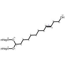 CCCCCCCOC(CCCCCCC/C=C/CCO)OCCCCCCC